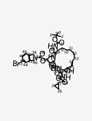 CC(C)(C)OC(=O)N[C@H]1CCCCC/C=C/[C@@H]2C[C@@]2(C(=O)NS(=O)(=O)C2CC2)NC(=O)[C@@H]2C[C@@H](OC(=O)N3Cc4ccc(Br)cc4C3)CN2C1=O